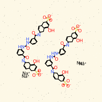 O=C(Nc1cccc(C(=O)N=C2C=CC3CC(S(=O)(=O)[O-])=CC(O)=C3C2)c1)Nc1cccc(C(=O)N=C2C=CC3CC(S(=O)(=O)[O-])=CC(O)=C3C2)c1.O=C(Nc1cccc(C(=O)N=C2C=CC3CC(S(=O)(=O)[O-])=CC(O)=C3C2)c1)Nc1cccc(C(=O)N=C2C=CC3CC(S(=O)(=O)[O-])=CC(O)=C3C2)c1.[Na+].[Na+].[Na+].[Na+]